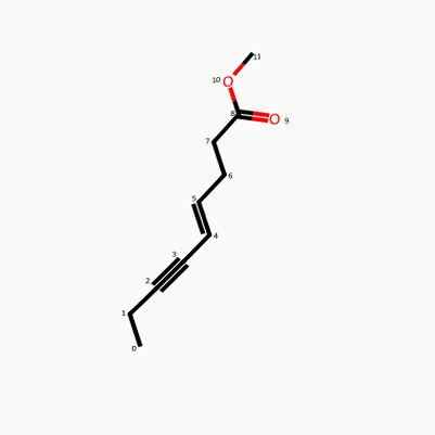 CCC#CC=CCCC(=O)OC